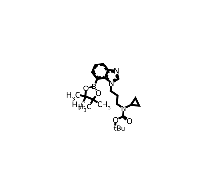 CC(C)(C)OC(=O)N(CCCn1cnc2cccc(B3OC(C)(C)C(C)(C)O3)c21)C1CC1